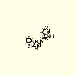 Clc1ccccc1-c1cnnc(NCc2n[nH]c3ncccc23)n1